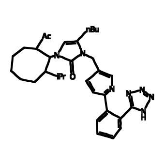 CCCCc1cn(C2C(C(C)=O)CCCCCC2C(C)C)c(=O)n1Cc1ccc(-c2ccccc2-c2nnn[nH]2)nc1